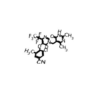 Cc1nc(C)c(Cn2cnc(C(F)(F)C(F)(F)F)c(Oc3c(C)cc(C#N)cc3Cl)c2=O)c(=O)[nH]1